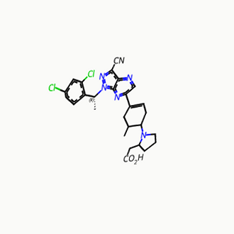 CC1CC(c2cnc3c(C#N)nn([C@H](C)c4ccc(Cl)cc4Cl)c3n2)=CCC1N1CCCC1CC(=O)O